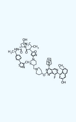 CCc1cccc2cc(O)cc(-c3ncc4c(N5CC6CCC(C5)N6)nc(OC5CCN(CC6CCN(c7cc(C(C(=O)N8C[C@H](O)C[C@H]8C(=O)NC(C)c8ccc(-c9scnc9C)cc8)C(C)C)on7)CC6)CC5)nc4c3F)c12